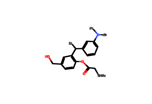 CCC(c1cccc(N(C(C)C)C(C)C)c1)c1cc(CO)ccc1OC(=O)CNC(C)=O